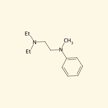 CCN(CC)CCN(C)c1ccccc1